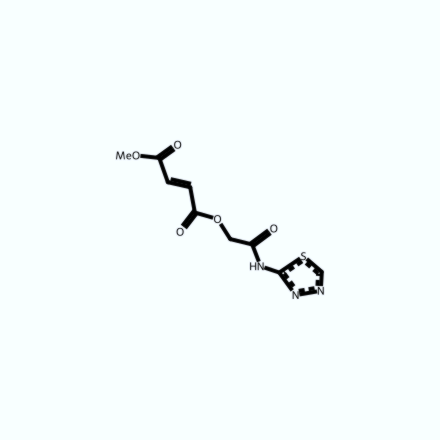 COC(=O)/C=C/C(=O)OCC(=O)Nc1nncs1